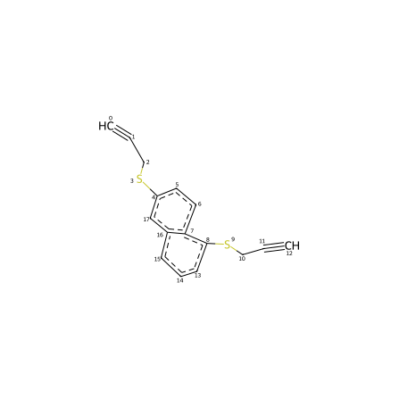 C#CCSc1ccc2c(SCC#C)cccc2c1